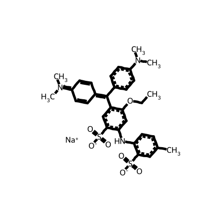 CCOc1cc(Nc2ccc(C)cc2S(=O)(=O)[O-])c(S(=O)(=O)[O-])cc1C(=C1C=CC(=[N+](C)C)C=C1)c1ccc(N(C)C)cc1.[Na+]